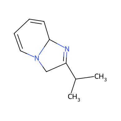 CC(C)C1=NC2C=CC=CN2C1